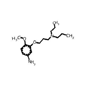 CCCN(CCC)CCCOc1cc(N)ccc1OC